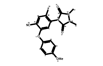 COc1ccc(Oc2cc(-n3c(=O)n(C)n(C)c3=O)c(F)cc2C#N)cc1